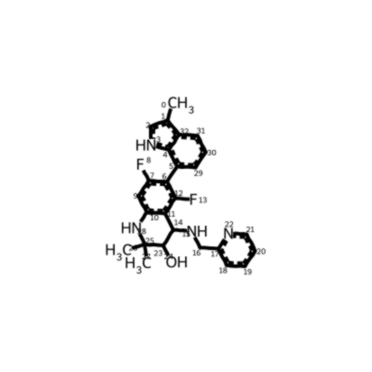 Cc1c[nH]c2c(-c3c(F)cc4c(c3F)C(NCc3ccccn3)C(O)C(C)(C)N4)cccc12